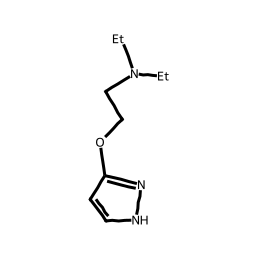 CCN(CC)CCOc1cc[nH]n1